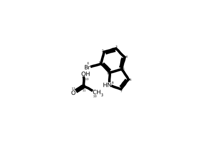 Brc1cccc2cc[nH]c12.CC(=O)O